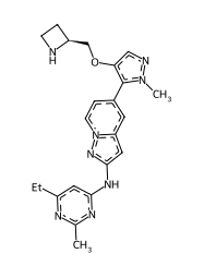 CCc1cc(Nc2cc3cc(-c4c(OC[C@@H]5CCN5)cnn4C)ccn3n2)nc(C)n1